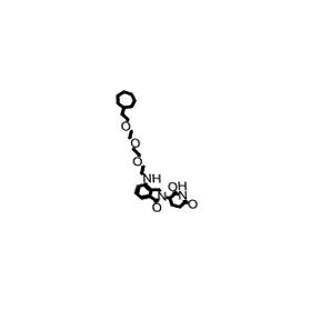 O=C1CCC(N2Cc3c(NCCOCCOCCOCCC4CCCCCC4)cccc3C2=O)C(=O)N1